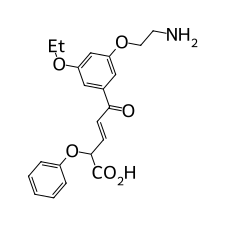 CCOc1cc(OCCN)cc(C(=O)C=CC(Oc2ccccc2)C(=O)O)c1